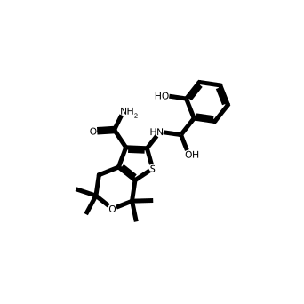 CC1(C)Cc2c(sc(NC(O)c3ccccc3O)c2C(N)=O)C(C)(C)O1